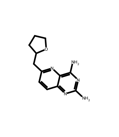 Nc1nc(N)c2nc(CC3CCCO3)ccc2n1